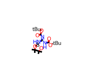 CC(C)(C)OC(=O)/N=C(\NB1OC(C)(C)C(C)(C)O1)NC(=O)OC(C)(C)C